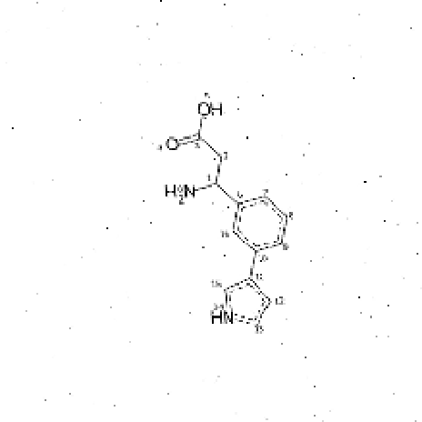 NC(CC(=O)O)c1cccc(-c2cc[nH]c2)c1